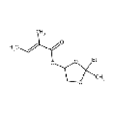 CC=C(C)C(=O)OC1COC(C)(CC)O1